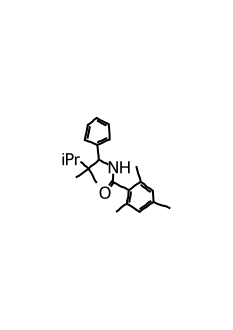 Cc1cc(C)c(C(=O)NC(c2ccccc2)C(C)(C)C(C)C)c(C)c1